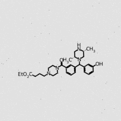 CCOC(=O)CCCN1CCN(C(=O)c2cccc(C(c3cccc(O)c3)N3C[C@@H](C)NC[C@H]3C)c2)CC1